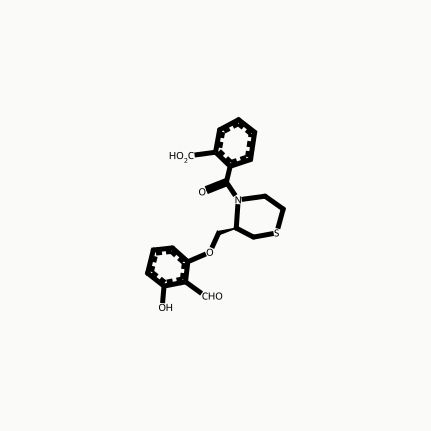 O=Cc1c(O)cccc1OC[C@@H]1CSCCN1C(=O)c1ccccc1C(=O)O